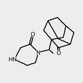 CC(N1CCNCC1=O)C12CC3CC(CC(C3)C1=O)C2